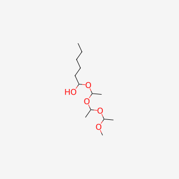 CCCCCC(O)OC(C)OC(C)OC(C)OC